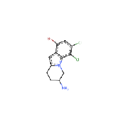 NC1CCc2cc3c(Br)cc(Cl)c(Cl)c3n2C1